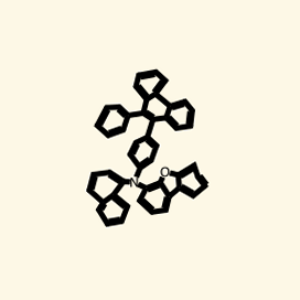 c1ccc(-c2c(-c3ccc(N(c4cccc5ccccc45)c4cccc5c4oc4ccccc45)cc3)c3ccccc3c3ccccc23)cc1